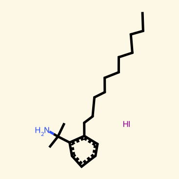 CCCCCCCCCCCc1ccccc1C(C)(C)N.I